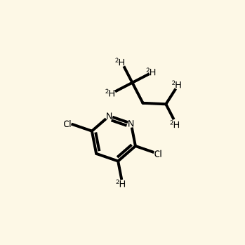 [2H]C([2H])CC([2H])([2H])[2H].[2H]c1cc(Cl)nnc1Cl